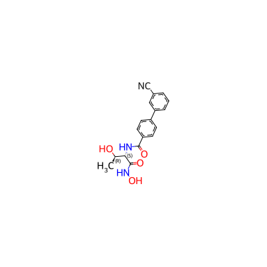 C[C@@H](O)[C@H](NC(=O)c1ccc(-c2cccc(C#N)c2)cc1)C(=O)NO